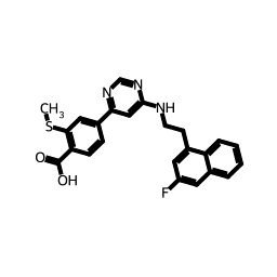 CSc1cc(-c2cc(NCCc3cc(F)cc4ccccc34)ncn2)ccc1C(=O)O